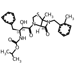 Cc1ccccc1CN1C(=O)[C@H]2N(C(=O)[C@@H](O)[C@H](Cc3ccccc3)NC(=O)OC(C)C)CSC21C